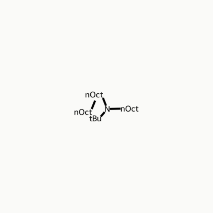 CCCCCCCCC.CCCCCCCCN(CCCCCCCC)C(C)(C)C